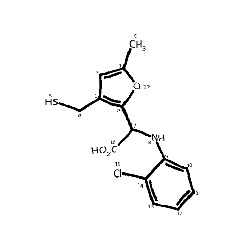 Cc1cc(CS)c(C(Nc2ccccc2Cl)C(=O)O)o1